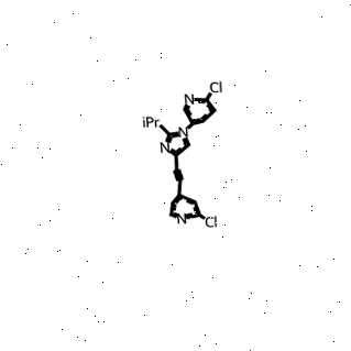 CC(C)c1nc(C#Cc2ccnc(Cl)c2)cn1-c1ccc(Cl)nc1